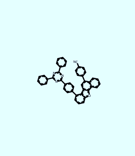 N#Cc1ccc(-c2cc3c(oc4cccc(-c5ccc(-c6nc(-c7ccccc7)nc(-c7ccccc7)n6)cc5)c43)c3ccccc23)cc1